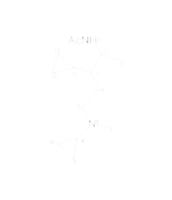 CC(=O)NC(C)C(CCN(C)C1CC1)C1CC1